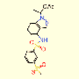 CC(=O)OC(C)n1ncc2c1CCCC2NS(=O)(=O)c1cccc(S(C)(=O)=O)c1